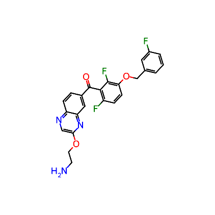 NCCOc1cnc2ccc(C(=O)c3c(F)ccc(OCc4cccc(F)c4)c3F)cc2n1